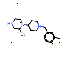 CC[C@H]1CNCCN1C1CCN(Cc2ccc(F)c(C)c2)CC1